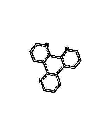 c1cnc2c(c1)c1cccnc1c1ncccc21